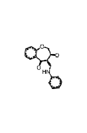 O=C1COc2ccccc2C(=O)/C1=C\Nc1ccccc1